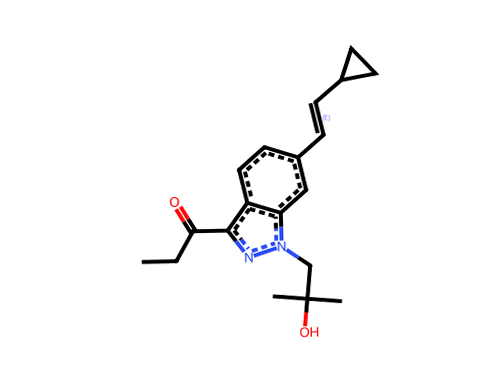 CCC(=O)c1nn(CC(C)(C)O)c2cc(/C=C/C3CC3)ccc12